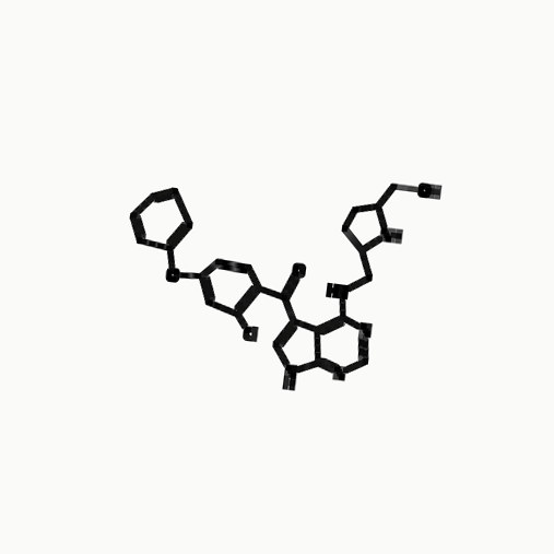 O=C(c1ccc(Oc2ccccc2)cc1Cl)c1c[nH]c2ncnc(NCC3CCC(CO)N3)c12